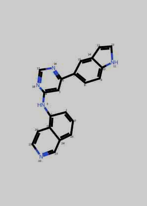 c1cc(Nc2cc(-c3ccc4[nH]ccc4c3)ncn2)c2ccncc2c1